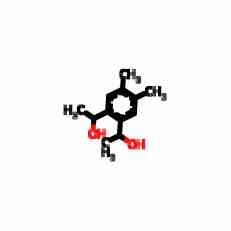 Cc1cc(C(C)O)c(C(C)O)cc1C